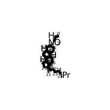 C=CC(=O)N[C@H]1CC[C@@]2(C)[C@@H](CC[C@@H]3[C@@H]2CC[C@]2(C)[C@@H]([C@H](C)CCCC(C)C)CC[C@@H]32)C1